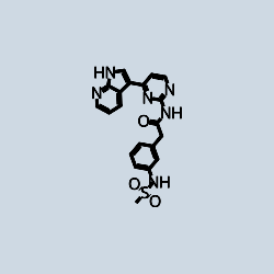 CS(=O)(=O)Nc1cccc(CC(=O)Nc2nccc(-c3c[nH]c4ncccc34)n2)c1